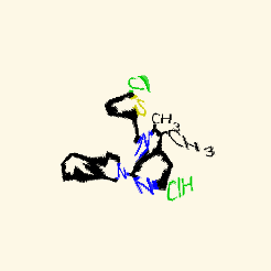 Cc1c(C)n(Cc2ccc(Cl)s2)c2c(N3CCc4ccccc4C3)nccc12.Cl